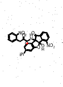 CC(C)c1ccc2c(c1)OC1(O)c3c(cccc3[N+](=O)[O-])C(=O)C21NC(=O)C(=O)Cc1ccccc1[N+](=O)[O-]